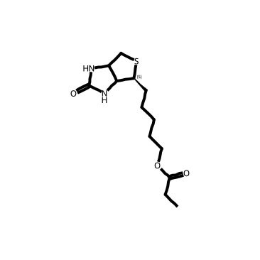 CCC(=O)OCCCCC[C@@H]1SCC2NC(=O)NC21